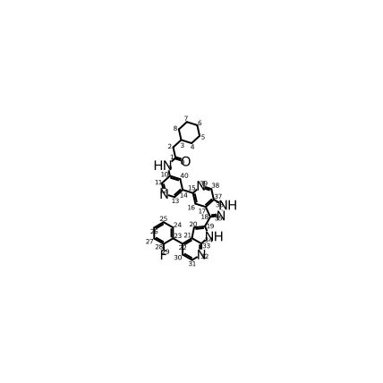 O=C(CC1CCCCC1)Nc1cncc(-c2cc3c(-c4cc5c(-c6ccccc6F)ccnc5[nH]4)n[nH]c3cn2)c1